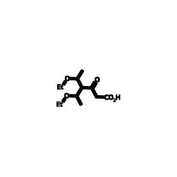 CCOC(C)C(C(=O)CC(=O)O)C(C)OCC